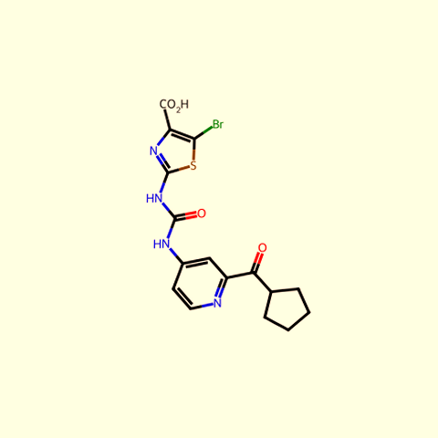 O=C(Nc1ccnc(C(=O)C2CCCC2)c1)Nc1nc(C(=O)O)c(Br)s1